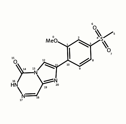 COc1cc(S(C)(=O)=O)ccc1-c1cn2c(=O)[nH]ncc2n1